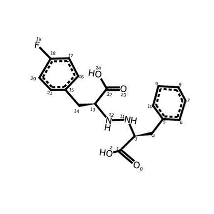 O=C(O)[C@H](Cc1ccccc1)NN[C@@H](Cc1ccc(F)cc1)C(=O)O